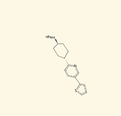 CCCCC[C@H]1CC[C@H](c2ccc(-c3cccs3)cn2)CC1